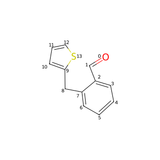 O=Cc1ccccc1Cc1cccs1